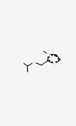 CC(C)NCc1nccn1C